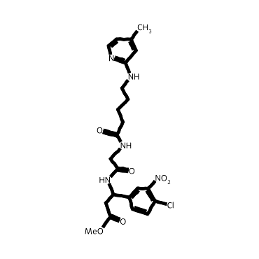 COC(=O)CC(NC(=O)CNC(=O)CCCCNc1cc(C)ccn1)c1ccc(Cl)c([N+](=O)[O-])c1